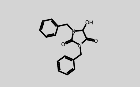 O=C1C(O)N(Cc2ccccc2)C(=O)N1Cc1ccccc1